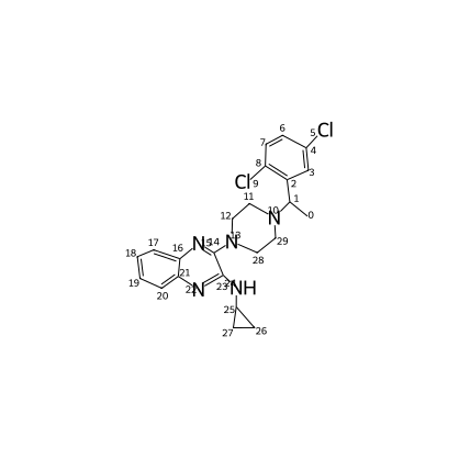 CC(c1cc(Cl)ccc1Cl)N1CCN(c2nc3ccccc3nc2NC2CC2)CC1